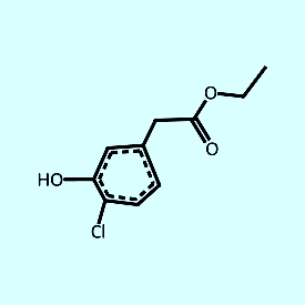 CCOC(=O)Cc1ccc(Cl)c(O)c1